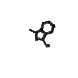 Cc1nc(C(C)C)c2cnccn12